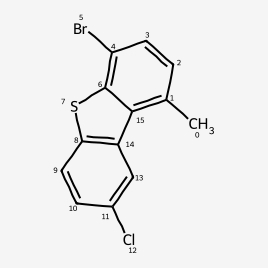 Cc1ccc(Br)c2sc3ccc(Cl)cc3c12